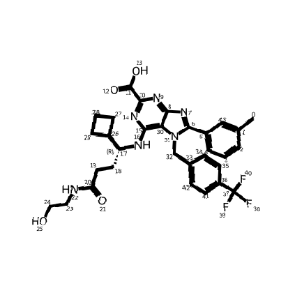 Cc1cccc(-c2nc3nc(C(=O)O)nc(N[C@H](CCC(=O)NCCO)C4CCC4)c3n2Cc2ccc(C(F)(F)F)cc2)c1